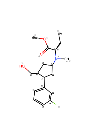 CC(C)C[C@H](C(=O)OC(C)(C)C)N(C)C1CC(CO)C(c2cccc(F)c2)C1